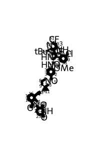 COc1cc(C(=O)N2CCC[C@]3(C[C@@H]3C#Cc3cccc4c3CN(C3CCC(=O)NC3=O)C4=O)C2)ccc1NC(=O)[C@@H]1N[C@@H](CC(C)(C)C)[C@@]2(CNc3cc(C(F)(F)F)ncc32)[C@H]1c1cccc(Cl)c1F